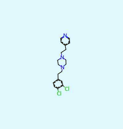 Clc1ccc(CCN2CCN(CCc3ccncc3)CC2)cc1Cl